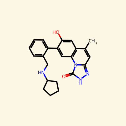 Cc1cc2n[nH]c(=O)n2c2cc(-c3ccccc3CNC3CCCC3)c(O)cc12